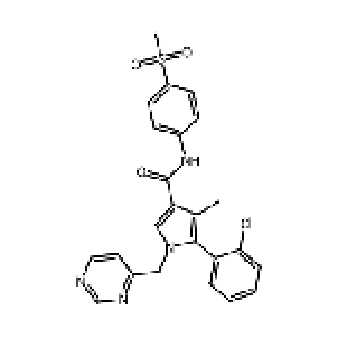 Cc1c(C(=O)Nc2ccc(S(C)(=O)=O)cc2)cn(Cc2ccncn2)c1-c1ccccc1Cl